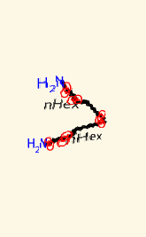 CCCCCCC(C/C=C\CCCCCCCC(=O)OC(C)C(C)OC(=O)CCCCCCC/C=C\CC(CCCCCC)OC(=O)CCCC(=O)OCCN)OC(=O)CCCC(=O)OCN